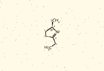 CCC1=N[C@H](C)CS1